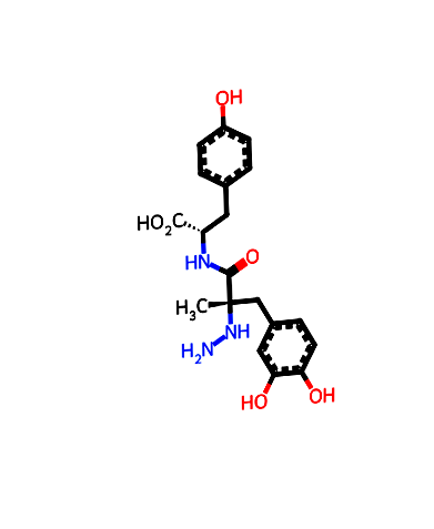 C[C@@](Cc1ccc(O)c(O)c1)(NN)C(=O)N[C@@H](Cc1ccc(O)cc1)C(=O)O